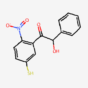 O=C(c1cc(S)ccc1[N+](=O)[O-])C(O)c1ccccc1